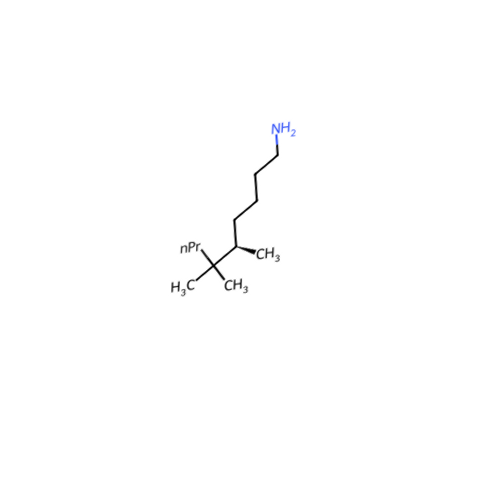 CCCC(C)(C)[C@H](C)CCCCN